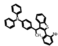 CC(c1ccc(N(c2ccccc2)c2ccccc2)cc1)c1c(-c2ccccc2N)sc2ccccc12